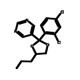 CCCC1COC(c2cncnc2)(c2ccc(Cl)cc2Cl)O1